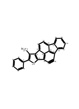 Cc1c(-c2ccccc2)sc2c1-c1ccc3c4c(c#cc-2c14)-c1ccccc1-3